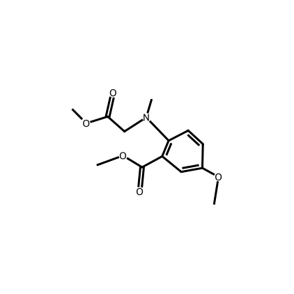 COC(=O)CN(C)c1ccc(OC)cc1C(=O)OC